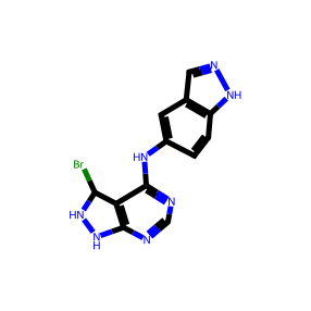 BrC1NNc2ncnc(Nc3ccc4[nH]ncc4c3)c21